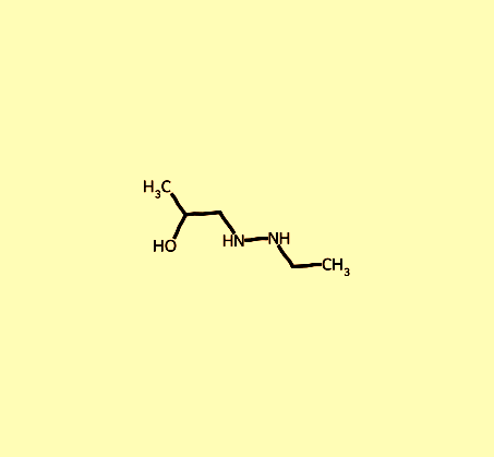 CCNNCC(C)O